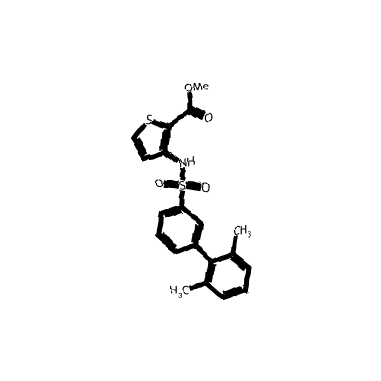 COC(=O)c1sccc1NS(=O)(=O)c1cccc(-c2c(C)cccc2C)c1